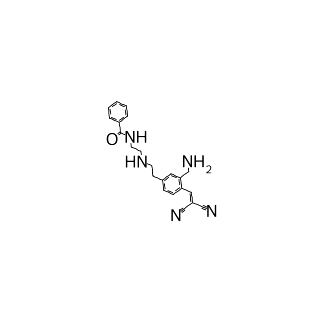 N#CC(C#N)=Cc1ccc(CCNCCNC(=O)c2ccccc2)cc1CN